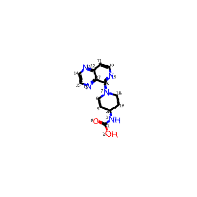 O=C(O)NC1CCN(c2nccc3nccnc23)CC1